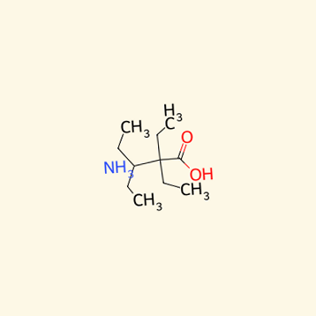 CCC(CC)C(CC)(CC)C(=O)O.N